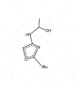 CC(O)Nc1coc(C(C)(C)C)n1